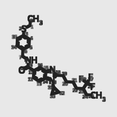 CCSc1ccc(CNC(=O)c2ccc3c(c2)nc(CCCCC(CC)C(F)(F)F)n3C2CC2)cc1